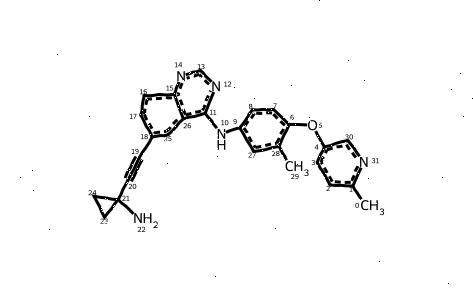 Cc1ccc(Oc2ccc(Nc3ncnc4ccc(C#CC5(N)CC5)cc34)cc2C)cn1